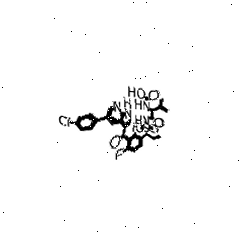 CCC(c1ccc(F)c(C(=O)c2c[nH]c3ncc(-c4ccc(Cl)cc4)cc23)c1F)S(=O)(=O)NC(=O)C(NC(=O)O)C(C)C